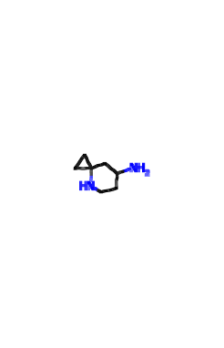 NC1CCNC2(CC2)C1